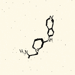 CC(N)CN1CCCC(Nc2ccc3cnccc3c2)C1